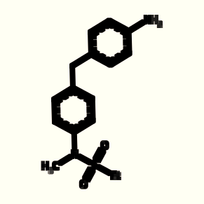 CCS(=O)(=O)N(C)c1ccc(Cc2ccc(N)cc2)cc1